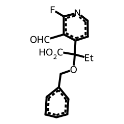 CCC(OCc1ccccc1)(C(=O)O)c1ccnc(F)c1C=O